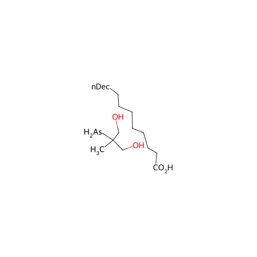 CC([AsH2])(CO)CO.CCCCCCCCCCCCCCCCCC(=O)O